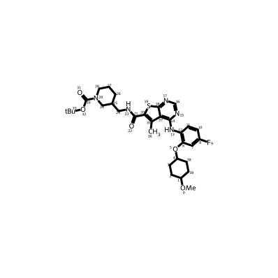 COC1CCC(Oc2cc(F)ccc2Nc2ncnc3sc(C(=O)NCC4CCCN(C(=O)OC(C)(C)C)C4)c(C)c23)CC1